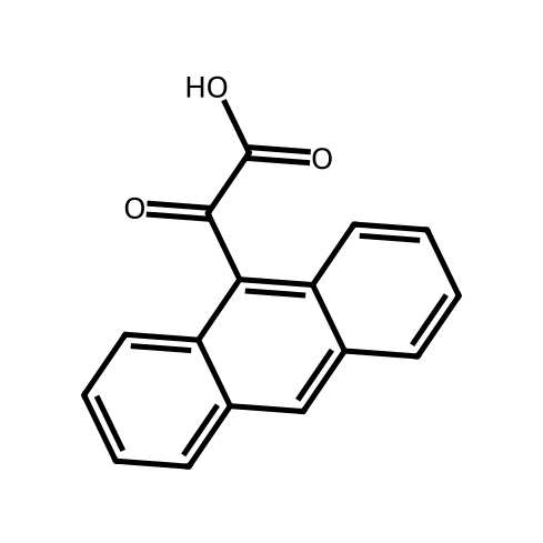 O=C(O)C(=O)c1c2ccccc2cc2ccccc12